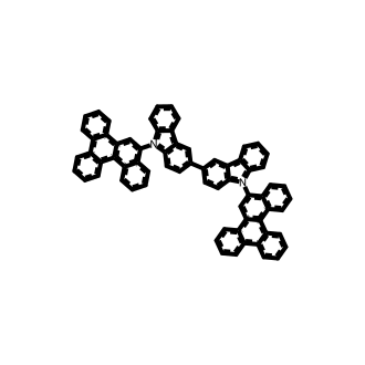 c1ccc2c(c1)c(-n1c3ccccc3c3cc(-c4ccc5c(c4)c4ccccc4n5-c4cc5c6ccccc6c6ccccc6c5c5ccccc45)ccc31)cc1c3ccccc3c3ccccc3c21